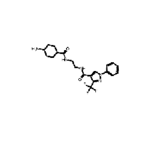 NC1CCC(C(=O)NCCNC(=O)c2cn(-c3ccccc3)nc2C(F)(F)F)CC1